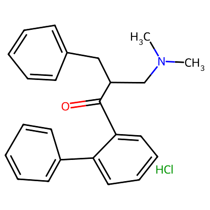 CN(C)CC(Cc1ccccc1)C(=O)c1ccccc1-c1ccccc1.Cl